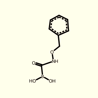 O=C(NOCc1ccccc1)B(O)O